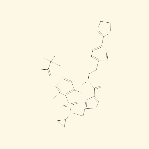 CN(CCc1ccc(C2=NCCN2)cc1)C(=O)c1coc(CN(C2CC2)S(=O)(=O)c2c(Cl)cccc2Cl)n1.O=C(O)C(F)(F)F